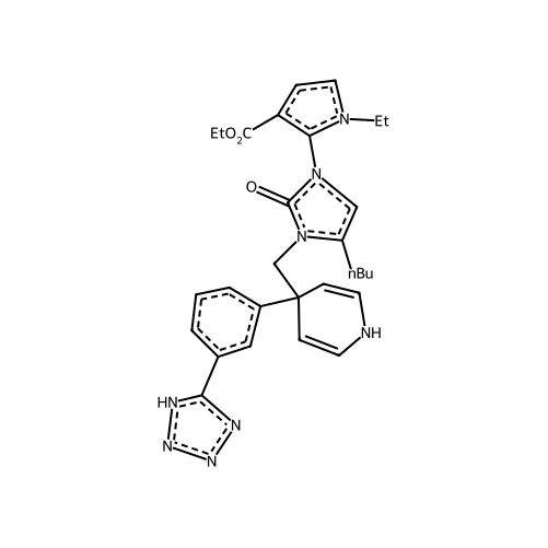 CCCCc1cn(-c2c(C(=O)OCC)ccn2CC)c(=O)n1CC1(c2cccc(-c3nnn[nH]3)c2)C=CNC=C1